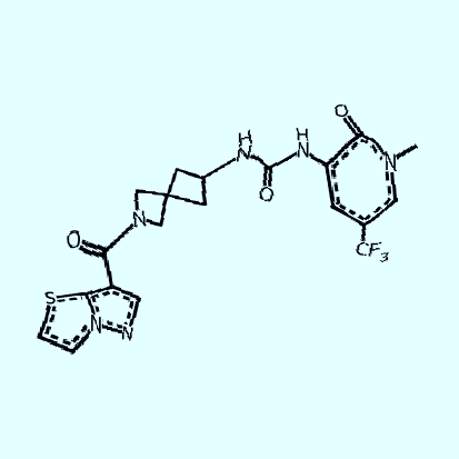 Cn1cc(C(F)(F)F)cc(NC(=O)NC2CC3(C2)CN(C(=O)c2cnn4ccsc24)C3)c1=O